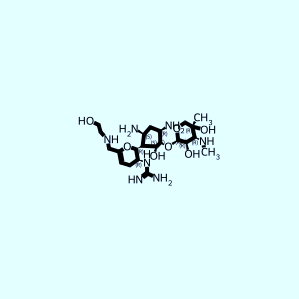 CN[C@@H]1[C@@H](O)[C@@H](O[C@H]2[C@H](N)C[C@H](N)C([C@H]3OC(CNCCO)=CC[C@H]3NC(=N)N)[C@@H]2O)OC[C@]1(C)O